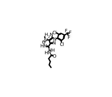 CCCCC(=O)NNC(=N)c1nn(-c2c(Cl)cc(C(F)(F)F)cc2Cl)c(N)c1[S+](C)[O-]